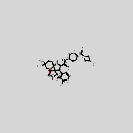 CC1(C)CCC2(CC1)NC(C(=O)N[C@@H]1CC[C@@H](C(=O)N3CC(O)C3)OC1)C(c1ccnc(Cl)c1F)C21C(=O)Nc2ccccc21